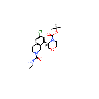 CCNC(=O)N1CCc2cc(Cl)cc([C@@H]3COCCN3C(=O)OC(C)(C)C)c2C1